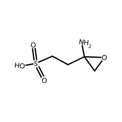 NC1(CCS(=O)(=O)O)CO1